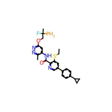 CCSc1cc(-c2ccc(C3CC3)cc2)cnc1C(=O)Nc1cc(OCC(C)(F)P)nnc1C